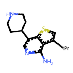 CC(C)c1csc2c(C3CCNCC3)cnc(N)c12